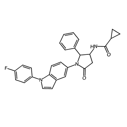 O=C(NC1CC(=O)N(c2ccc3c(ccn3-c3ccc(F)cc3)c2)C1c1ccccc1)C1CC1